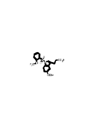 COc1ccc2c(c1)c(CCC(=O)O)cn2S(=O)(=O)c1ccccc1OC(F)(F)F